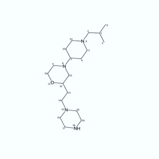 CC(C)CN1CCC(N2CCOC(CCN3CCNCC3)C2)CC1